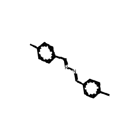 Cc1ccc(C=NN=Cc2ccc(C)cc2)cc1